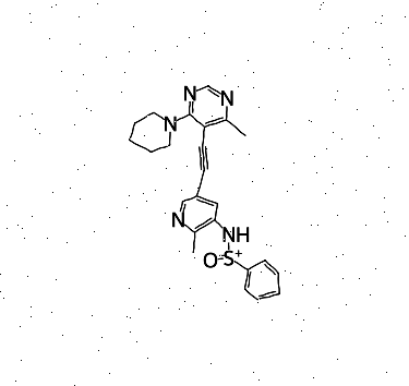 Cc1ncc(C#Cc2c(C)ncnc2N2CCCCC2)cc1N[S+]([O-])c1ccccc1